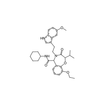 CCOc1cccc2c1OC(C(C)C)C(=O)N(CCc1c[nH]c3ccc(OC)cc13)C2C(=O)NC1CCCCC1